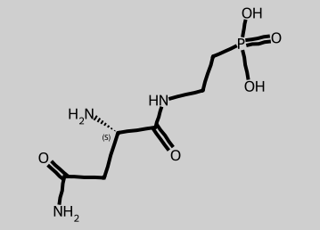 NC(=O)C[C@H](N)C(=O)NCCP(=O)(O)O